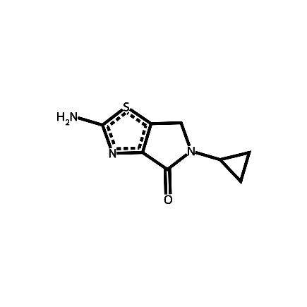 Nc1nc2c(s1)CN(C1CC1)C2=O